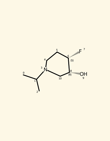 CC(C)N1CC[C@H](F)[C@H](O)C1